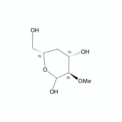 CO[C@H]1C(O)O[C@H](CO)C[C@@H]1O